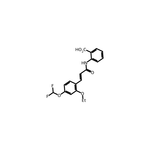 CCOc1cc(OC(F)F)ccc1C=CC(=O)Nc1ccccc1C(=O)O